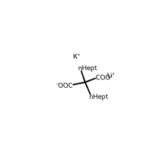 CCCCCCCC(CCCCCCC)(C(=O)[O-])C(=O)[O-].[K+].[Li+]